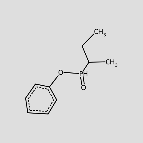 CCC(C)[PH](=O)Oc1ccccc1